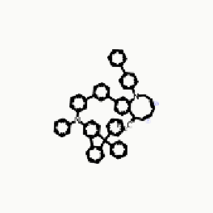 C=C1/C=C\C=C/CN(c2ccc(-c3ccccc3)cc2)c2cc(-c3cccc(-c4cccc(N(c5ccccc5)c5ccc6c(c5)-c5ccccc5C6(c5ccccc5)c5ccccc5)c4)c3)ccc21